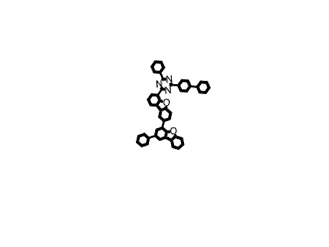 c1ccc(-c2ccc(-c3nc(-c4ccccc4)nc(-c4cccc5c4oc4ccc(-c6cc(-c7ccccc7)cc7c6oc6ccccc67)cc45)n3)cc2)cc1